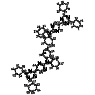 c1ccc(-c2nc(-c3ccccc3)nc(-c3cnc(-n4c5ccccc5c5cc(-c6ccc7c(c6)c6ccccc6n7-c6ncc(-c7nc(-c8ccccc8)nc(-c8ccccc8)n7)cn6)ccc54)nc3)n2)cc1